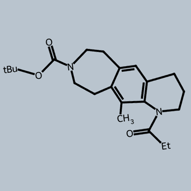 CCC(=O)N1CCCc2cc3c(c(C)c21)CCN(C(=O)OC(C)(C)C)CC3